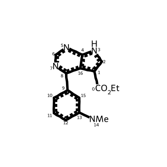 CCOC(=O)c1c[nH]c2ncnc(-c3cccc(NC)c3)c12